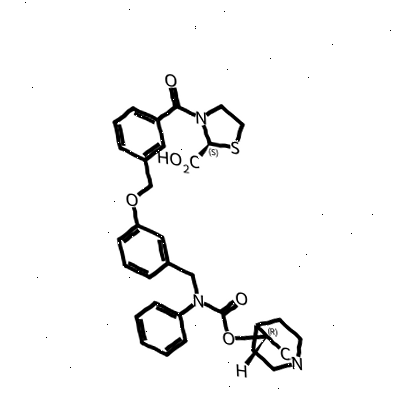 O=C(O)[C@@H]1SCCN1C(=O)c1cccc(COc2cccc(CN(C(=O)O[C@H]3CN4CCC3CC4)c3ccccc3)c2)c1